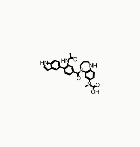 CC(=O)Nc1cc(C(=O)N2CCCNc3ccc(N(C)C(=O)O)cc32)ccc1-c1ccc2[nH]ccc2c1